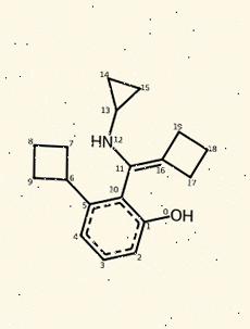 Oc1cccc(C2CCC2)c1C(NC1CC1)=C1CCC1